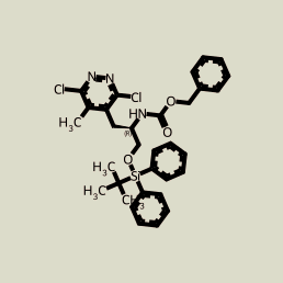 Cc1c(Cl)nnc(Cl)c1C[C@H](CO[Si](c1ccccc1)(c1ccccc1)C(C)(C)C)NC(=O)OCc1ccccc1